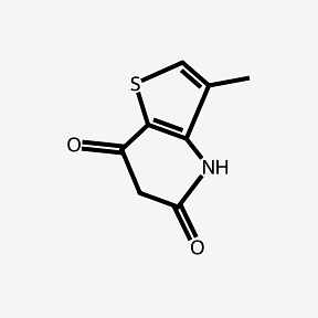 Cc1csc2c1NC(=O)CC2=O